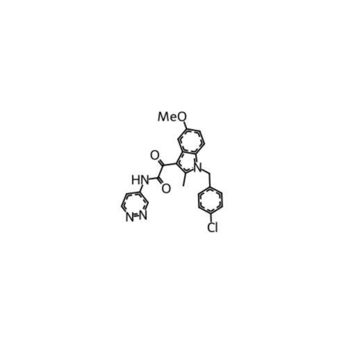 COc1ccc2c(c1)c(C(=O)C(=O)Nc1ccnnc1)c(C)n2Cc1ccc(Cl)cc1